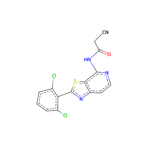 N#CCC(=O)Nc1nccc2nc(-c3c(Cl)cccc3Cl)sc12